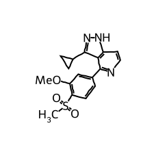 COc1cc(-c2nccc3[nH]nc(C4CC4)c23)ccc1S(C)(=O)=O